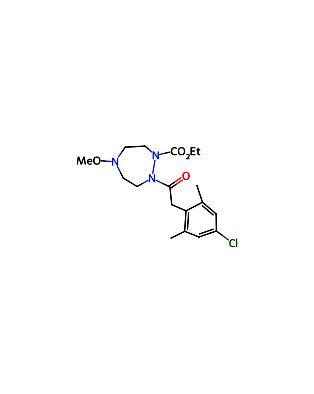 CCOC(=O)N1CCN(OC)CCN1C(=O)Cc1c(C)cc(Cl)cc1C